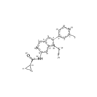 Cc1cc(-c2cc3cnc(NC(=O)C4CC4)cc3n2SF)ccn1